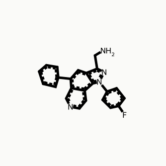 NCc1nn(-c2ccc(F)cc2)c2c1cc(-c1ccccc1)c1cnccc12